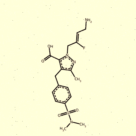 Cc1nn(C/C(F)=C/CN)c(C(=O)O)c1Cc1ccc(S(=O)(=O)N(C)C)cc1